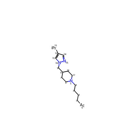 CC(=O)CCCCN1CCC(Cn2cc(C(C)C)cn2)CC1